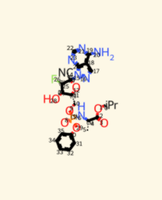 CC(C)OC(=O)[C@H](C)N[P@](=O)(OC[C@H]1O[C@@](C#N)(n2ncc3c(N)ncnc32)[C@H](F)[C@@H]1O)Oc1ccccc1